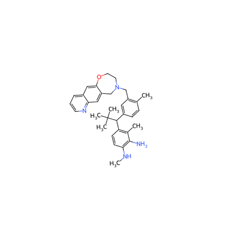 CNc1ccc(C(c2ccc(C)c(CN3CCOc4cc5cccnc5cc4C3)c2)C(C)(C)C)c(C)c1N